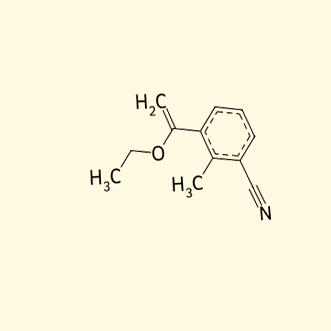 C=C(OCC)c1cccc(C#N)c1C